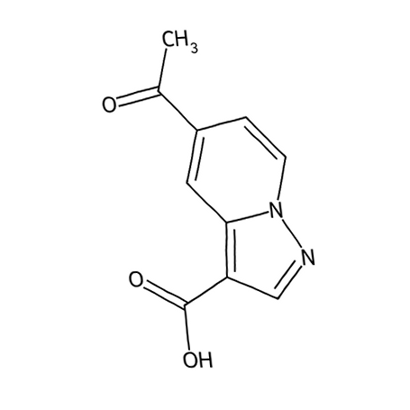 CC(=O)c1ccn2ncc(C(=O)O)c2c1